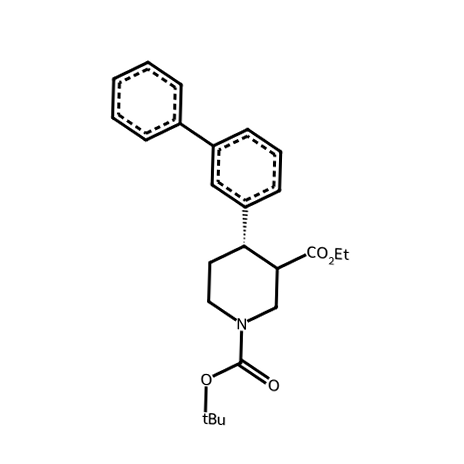 CCOC(=O)C1CN(C(=O)OC(C)(C)C)CC[C@@H]1c1cccc(-c2ccccc2)c1